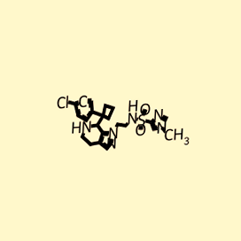 Cn1cnc(S(=O)(=O)NCCn2ncc3c2C(C2(c4ccc(Cl)cc4)CCC2)NCC3)c1